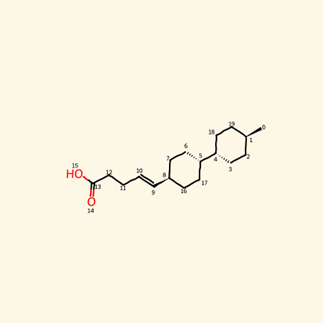 C[C@H]1CC[C@H]([C@H]2CC[C@H](C=CCCC(=O)O)CC2)CC1